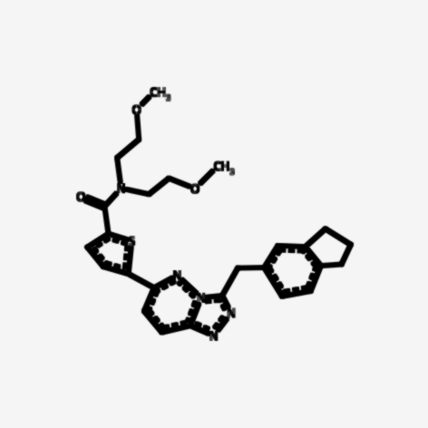 COCCN(CCOC)C(=O)c1ccc(-c2ccc3nnc(Cc4ccc5c(c4)CCC5)n3n2)s1